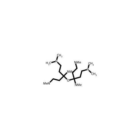 CNCCC(CCN(C)C)(NC)OC(CCNC)(CCN(C)C)NC